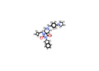 O=C1N(C2Cc3ccccc3C2)C(=O)C2(CCN(Cc3ccc(N4CCCC4)cc3)CC2)N1CC1CCC1